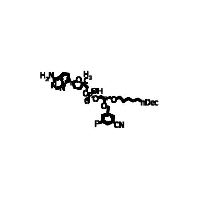 CCCCCCCCCCCCCCCOC[C@H](COP(=O)(O)OC[C@]1(C)CC[C@H](c2ccc3c(N)ncnn23)O1)OCc1cc(F)cc(C#N)c1